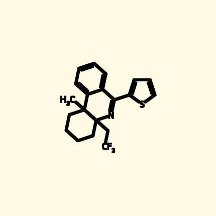 CC12CCCCC1(CC(F)(F)F)N=C(c1cccs1)c1ccccc12